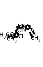 CC(C)c1cc2cc(Cl)cc(Cc3ccc(-c4nc5cc(CN6CCN(C)CC6)ccc5[nH]4)o3)c2o1